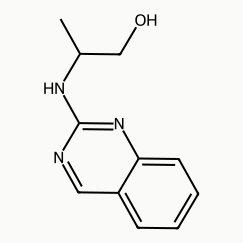 CC(CO)Nc1ncc2ccccc2n1